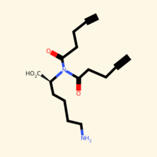 C#CCCC(=O)N(C(=O)CCC#C)[C@@H](CCCCN)C(=O)O